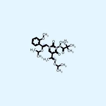 COc1ccccc1/C(=C/n1cc(/C(C)=N/OC(C)C)c(=O)n(N(C)C(=O)C(C)(C)C)c1=O)OC(C)C